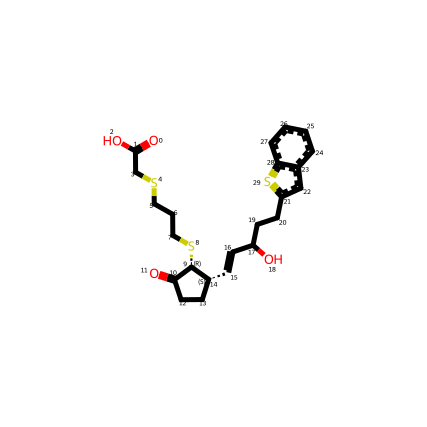 O=C(O)CSCCCS[C@H]1C(=O)CC[C@H]1C=CC(O)CCc1cc2ccccc2s1